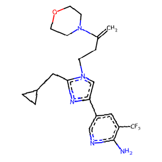 C=C(CCn1cc(-c2cnc(N)c(C(F)(F)F)c2)nc1CC1CC1)N1CCOCC1